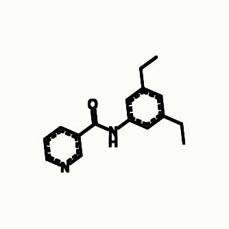 CCc1cc(CC)cc(NC(=O)c2cccnc2)c1